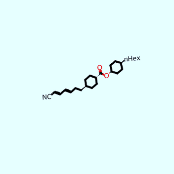 CCCCCC[C@H]1CC[C@H](OC(=O)[C@H]2CC[C@H](CCC=CC=CC#N)CC2)CC1